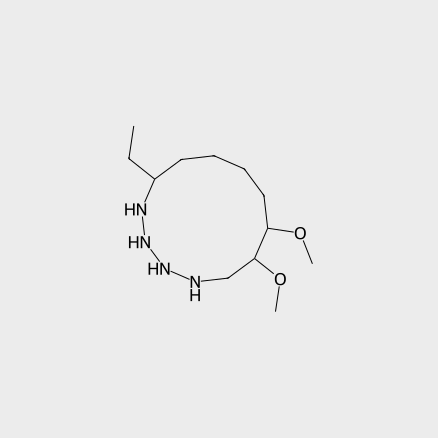 CCC1CCCCC(OC)C(OC)CNNNN1